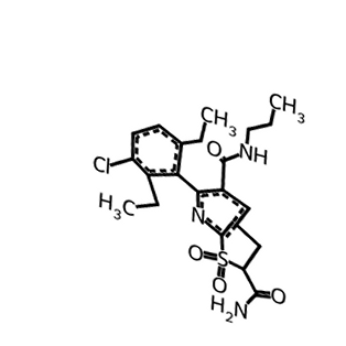 CCCNC(=O)c1cc2c(nc1-c1c(CC)ccc(Cl)c1CC)S(=O)(=O)C(C(N)=O)C2